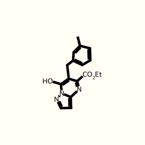 CCOC(=O)c1nc2ccnn2c(O)c1Cc1cccc(C)c1